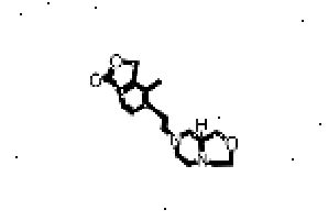 Cc1c(CCN2CCN3CCOC[C@@H]3C2)ccc2c1COC2=O